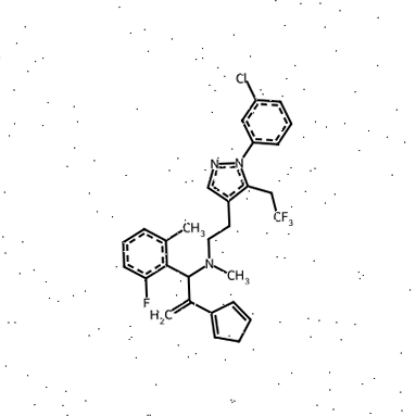 C=C(C1=CCC=C1)C(c1c(C)cccc1F)N(C)CCc1cnn(-c2cccc(Cl)c2)c1CC(F)(F)F